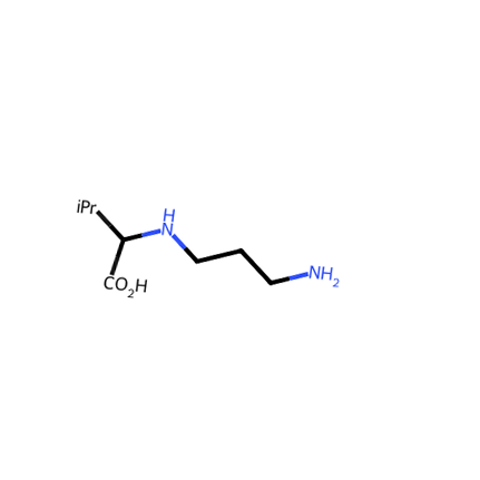 CC(C)C(NCCCN)C(=O)O